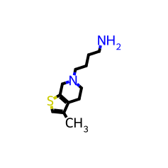 Cc1csc2c1CCN(CCCCN)C2